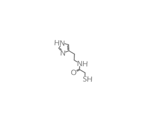 O=C(CS)NCCc1c[nH]cn1